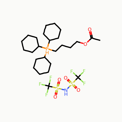 CC(=O)OCCCC[PH](C1CCCCC1)(C1CCCCC1)C1CCCCC1.O=S(=O)(NS(=O)(=O)C(F)(F)F)C(F)(F)F